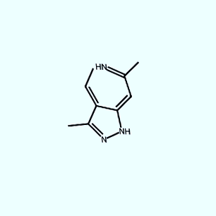 C/C=c1/c(C)n[nH]/c1=C/C(C)=N